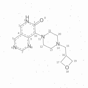 O=c1[nH]cc2cncnc2c1N1CCN(CC2COC2)CC1